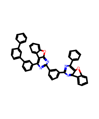 c1ccc(-c2cccc(-c3cccc(-c4nc(-c5cccc(-c6nc(-c7ccccc7)c7oc8ccccc8c7n6)c5)nc5oc6ccccc6c45)c3)c2)cc1